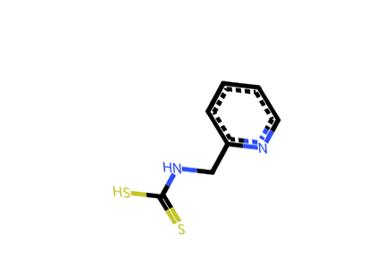 S=C(S)NCc1ccccn1